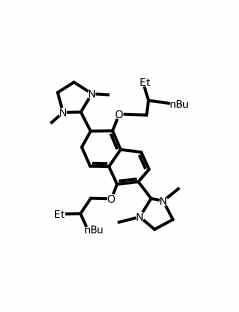 CCCCC(CC)COC1=c2ccc(C3N(C)CCN3C)c(OCC(CC)CCCC)c2=CCC1C1N(C)CCN1C